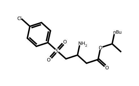 CCCCC(C)OC(=O)CC(N)CS(=O)(=O)c1ccc(Cl)cc1